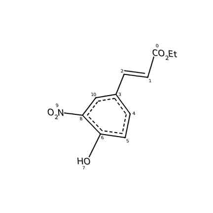 CCOC(=O)/C=C/c1ccc(O)c([N+](=O)[O-])c1